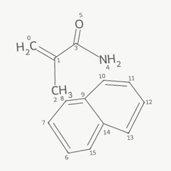 C=C(C)C(N)=O.c1ccc2ccccc2c1